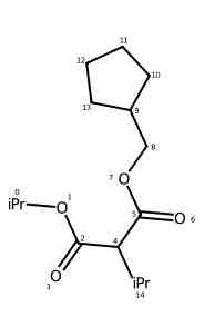 CC(C)OC(=O)C(C(=O)OCC1CCCC1)C(C)C